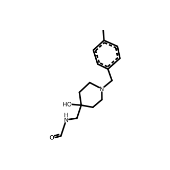 Cc1ccc(CN2CCC(O)(CNC=O)CC2)cc1